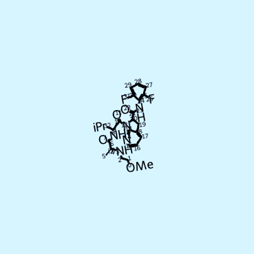 COCCN[C@@H](C)C(=O)NC(C(=O)N1c2ncccc2CC1C(=O)Nc1c(F)cccc1F)C(C)C